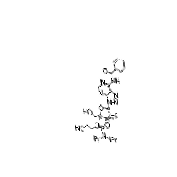 CC(C)N(C(C)C)P(OCCC#N)O[C@H]1[C@H](F)[C@H](n2nnc3c(NC(=O)c4ccccc4)ncnc32)O[C@@H]1CO